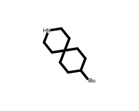 CCC(C)C1CCC2(CCNCC2)CC1